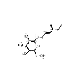 C=C(/C=C/COC1OC(CO)C(O)C(O)C1O)CC